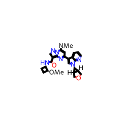 CNc1cc(-c2cn([C@H]3[C@@H]4COC[C@@H]43)c3ncccc23)nc2c(C(=O)N[C@H]3CC[C@@H]3OC)cnn12